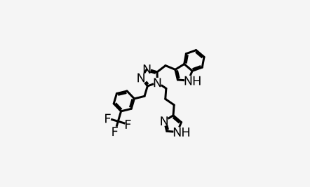 FC(F)(F)c1cccc(Cc2nnc(Cc3c[nH]c4ccccc34)n2CCCc2c[nH]cn2)c1